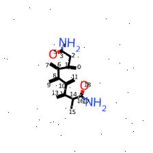 C=C(CC(N)=O)C(=C)C(=C)C(=C)C(=C)C(C)C(N)=O